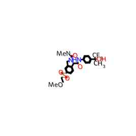 CNC(=O)N1Cc2cc(S(=O)(=O)CCOC)ccc2C1C(=O)Nc1ccc(C(C)(O)C(F)(F)F)cc1